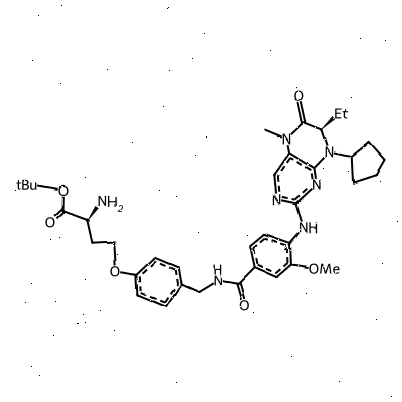 CC[C@@H]1C(=O)N(C)c2cnc(Nc3ccc(C(=O)NCc4ccc(OCC[C@H](N)C(=O)OC(C)(C)C)cc4)cc3OC)nc2N1C1CCCC1